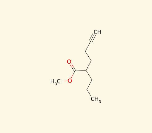 C#CCCC(CCC)C(=O)OC